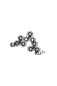 [Cl-].[H-].[Ru+2].c1ccc(P(c2ccccc2)c2ccccc2)cc1.c1ccc(P(c2ccccc2)c2ccccc2)cc1.c1ccc(P(c2ccccc2)c2ccccc2)cc1